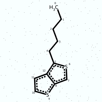 CCCCCc1scc2sccc12